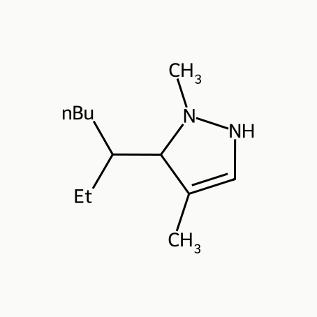 CCCCC(CC)C1C(C)=CNN1C